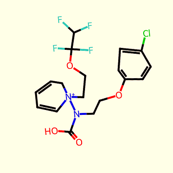 O=C(O)N(CCOc1ccc(Cl)cc1)[N+]1(CCOC(F)(F)C(F)F)C=CC=CC1